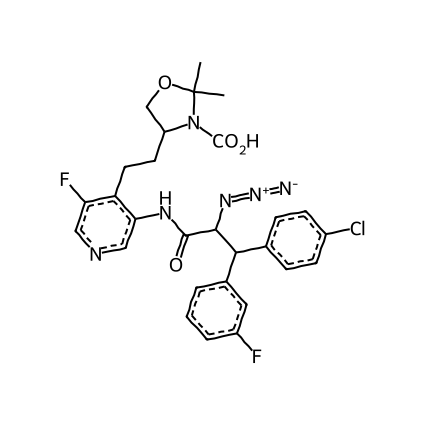 CC1(C)OCC(CCc2c(F)cncc2NC(=O)C(N=[N+]=[N-])C(c2ccc(Cl)cc2)c2cccc(F)c2)N1C(=O)O